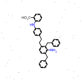 Nc1c(Cc2ccccc2)ccc(CCc2ccc(Nc3ccccc3C(=O)O)cc2)c1Cc1ccccc1